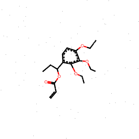 C=CC(=O)OC(CC)c1ccc(OCC)c(OCC)c1OCC